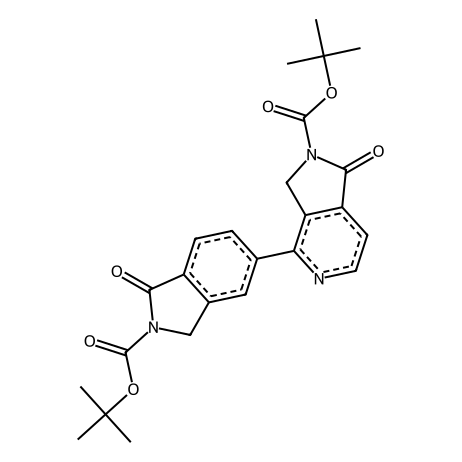 CC(C)(C)OC(=O)N1Cc2cc(-c3nccc4c3CN(C(=O)OC(C)(C)C)C4=O)ccc2C1=O